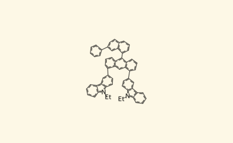 CCn1c2ccccc2c2cc(-c3cccc4c(-c5cccc6ccc(-c7ccccc7)cc56)c5cccc(-c6ccc7c(c6)c6ccccc6n7CC)c5cc34)ccc21